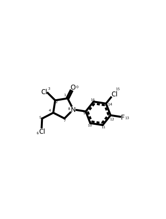 O=C1C(Cl)C(CCl)CN1c1ccc(F)c(Cl)c1